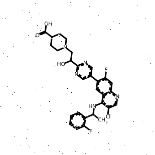 CC(Nc1c(Cl)cnc2cc(F)c(-c3cnc(C(O)CN4CCC(C(=O)O)CC4)nc3)cc12)c1ccccc1F